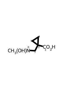 CN(O)CC1(C(=O)O)CC1